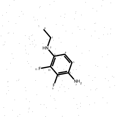 CCNc1ccc(N)c(F)c1F